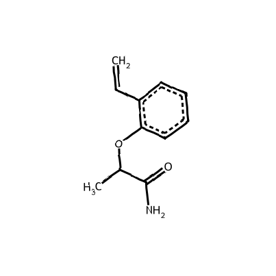 C=Cc1ccccc1OC(C)C(N)=O